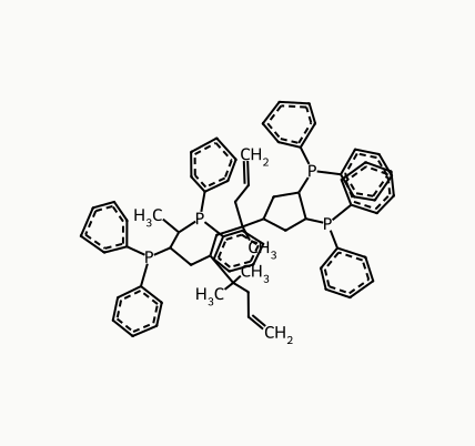 C=CCC(C)(C)C(CC(C(C)P(c1ccccc1)c1ccccc1)P(c1ccccc1)c1ccccc1)CC(C)(CC=C)C1CC(P(c2ccccc2)c2ccccc2)C(P(c2ccccc2)c2ccccc2)C1